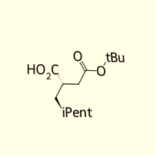 CCC[C@H](C)C[C@@H](CC(=O)OC(C)(C)C)C(=O)O